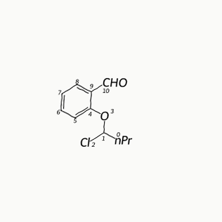 CCCC(Cl)Oc1ccccc1C=O